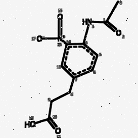 CC(=O)Nc1ccc(CCC(=O)O)cc1[N+](=O)[O-]